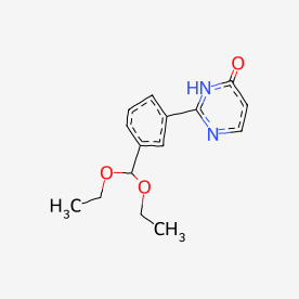 CCOC(OCC)c1cccc(-c2nccc(=O)[nH]2)c1